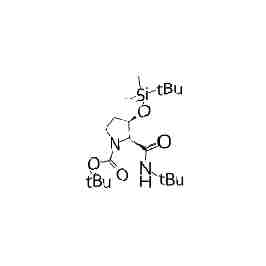 CC(C)(C)NC(=O)[C@@H]1[C@H](O[Si](C)(C)C(C)(C)C)CCN1C(=O)OC(C)(C)C